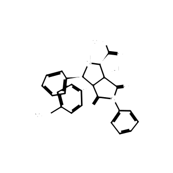 COC(=O)[C@@H]1N[C@H](c2ccccc2)[C@]2(c3ccc(OC)cc3)C(=O)N(c3ccccc3)C(=O)[C@H]12